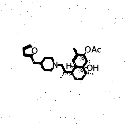 CC(=O)O[C@@H]1[C][C@@]2(O)[C@H](C)CC[C@@H]([C@H](C)CN3CCC(Cc4ccco4)CC3)[C@H]2C=C1C